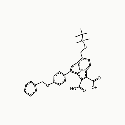 CC(C)(C)[Si](C)(C)OCc1ccc2c(C(=O)O)c(C(=O)O)c3c(-c4ccc(OCc5ccccc5)cc4)cc1n23